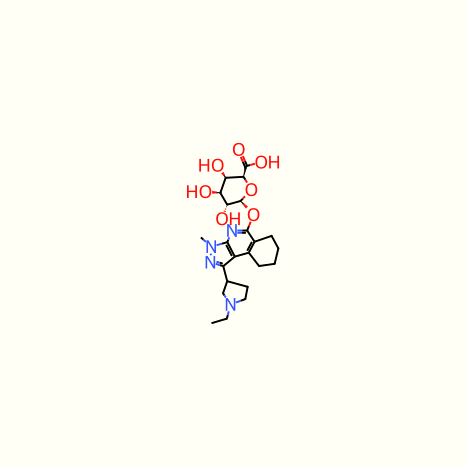 CCN1CCC(c2nn(C)c3nc(O[C@@H]4O[C@H](C(=O)O)[C@H](O)[C@H](O)[C@H]4O)c4c(c23)CCCC4)C1